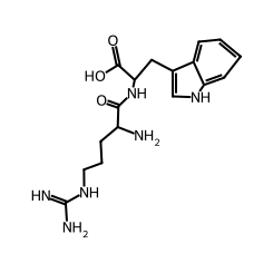 N=C(N)NCCCC(N)C(=O)NC(Cc1c[nH]c2ccccc12)C(=O)O